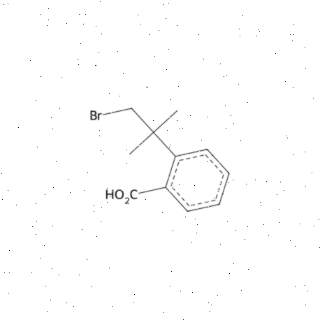 CC(C)(CBr)c1ccccc1C(=O)O